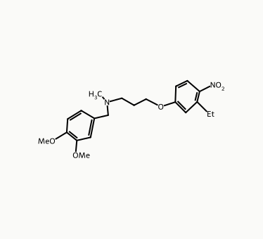 CCc1cc(OCCCN(C)Cc2ccc(OC)c(OC)c2)ccc1[N+](=O)[O-]